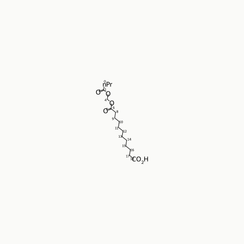 CCCC(=O)OCOC(=O)CCCCCCCCCCC(=O)O